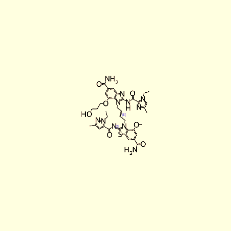 CCn1cc(C)nc1C(=O)Nc1nc2cc(C(N)=O)cc(OCCCO)c2n1C/C=C/Cn1/c(=N/C(=O)c2cc(C)nn2CC)sc2cc(C(N)=O)cc(OC)c21